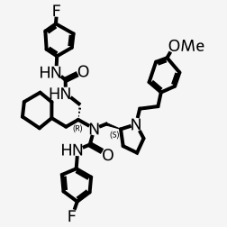 COc1ccc(CCN2CCC[C@H]2CN(C(=O)Nc2ccc(F)cc2)[C@@H](CNC(=O)Nc2ccc(F)cc2)CC2CCCCC2)cc1